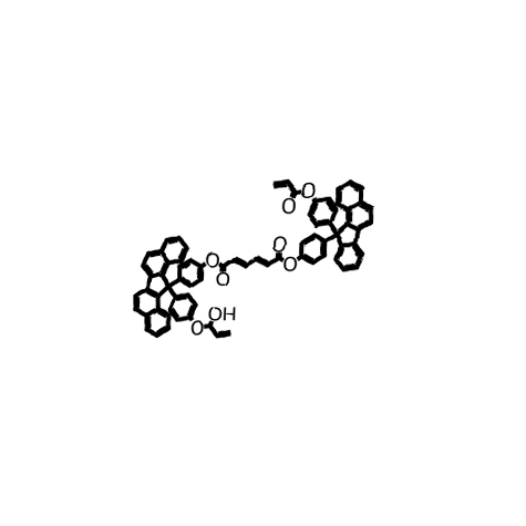 C=CC(=O)Oc1ccc(C2(c3ccc(OC(=O)/C=C/C=C/C(=O)Oc4ccc(C5(c6ccc(OC(O)C=C)cc6)c6c(ccc7ccccc67)-c6ccc7ccccc7c65)cc4)cc3)c3ccccc3-c3ccc4ccccc4c32)cc1